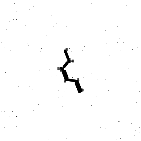 C=C/C=N\SC